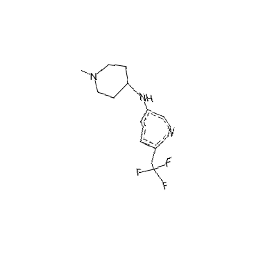 CN1CCC(Nc2ccc(C(F)(F)F)nc2)CC1